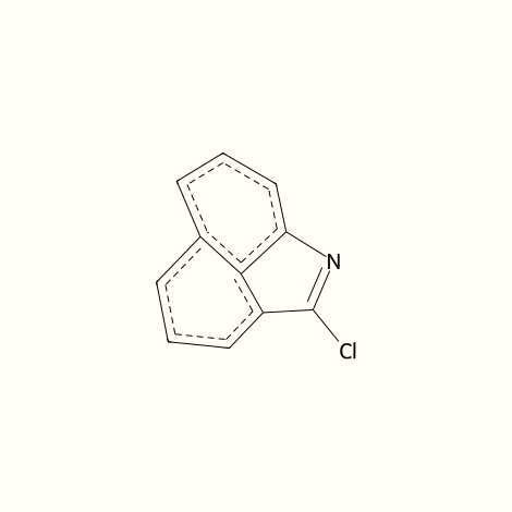 ClC1=Nc2cccc3cccc1c23